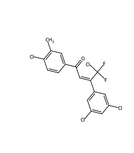 Cc1cc(C(=O)C=C(c2cc(Cl)cc(Cl)c2)C(F)(F)Cl)ccc1Cl